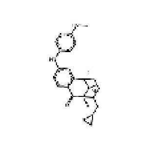 CNc1ccc(Nc2ccc3c(c2)[C@@]2(C)CCC(CC4CC4)[C@H](C3=O)[C@@H]2C)cc1